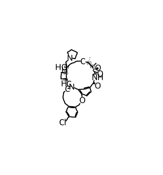 C[C@@H]1[C@@H](C)CCC[C@@](O)(CN2CCCC2)[C@@H]2CC[C@H]2CN2CCCCc3cc(Cl)ccc3COc3ccc(cc32)C(=O)NS1(=O)=O